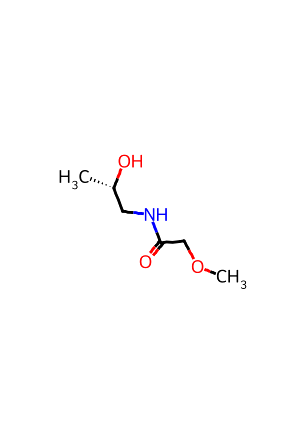 COCC(=O)NC[C@H](C)O